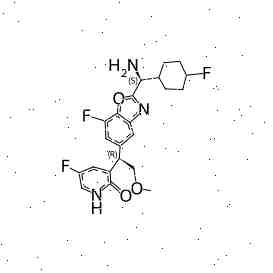 COC[C@H](c1cc(F)c2oc([C@@H](N)C3CCC(F)CC3)nc2c1)c1cc(F)c[nH]c1=O